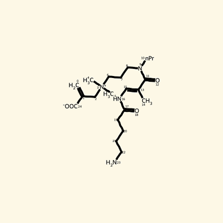 C=C(C[N+](C)(C)CCCN(CCC)C(=O)C(C)=CNC(=O)CCCCN)C(=O)[O-]